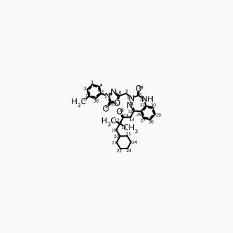 Cc1cccc(-n2nc(CN3N=C(CC(=O)C(C)(C)CC4CCCCC4)c4ccccc4NC3=O)oc2=O)c1